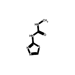 CNC(=O)Nc1nncs1